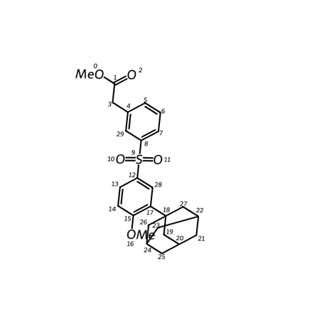 COC(=O)Cc1cccc(S(=O)(=O)c2ccc(OC)c(C34CC5CC(CC(C5)C3)C4)c2)c1